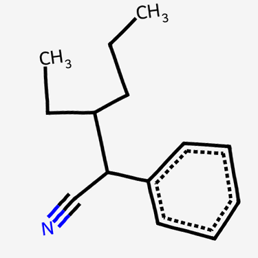 CCCC(CC)C(C#N)c1ccccc1